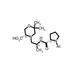 CC(=O)N1CCC[C@H]1C(=O)N[C@@H](C)CN1CC(C)(C)OC[C@H]1C(=O)O